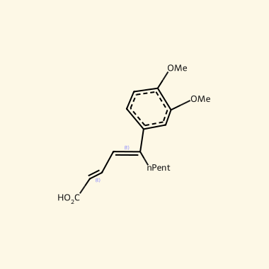 CCCCC/C(=C\C=C\C(=O)O)c1ccc(OC)c(OC)c1